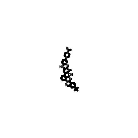 CC(=O)N1CCN(c2ccc(Nc3cc(-c4cccc(-n5ncc6cc(C(C)(C)C)ccc6c5=O)c4CO)cn(C)c3=O)nc2)CC1